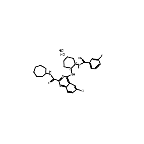 Cl.Cl.N=C(N[C@@H]1CCCC[C@@H]1Nc1nc(C(=O)NC2CCCCCC2)nc2ccc(Cl)cc12)c1cccc(F)c1